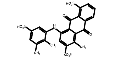 Cc1c(N)cc(S(=O)(=O)O)cc1Nc1cc(S(=O)(=O)O)c(N)c2c1C(=O)c1c(cccc1S(=O)(=O)O)C2=O